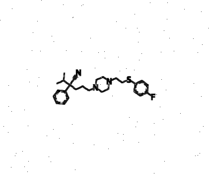 CC(C)C(C#N)(CCCN1CCN(CCSc2ccc(F)cc2)CC1)c1ccccc1